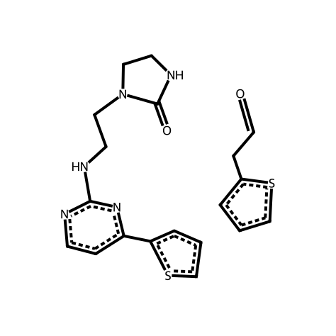 O=C1NCCN1CCNc1nccc(-c2cccs2)n1.O=CCc1cccs1